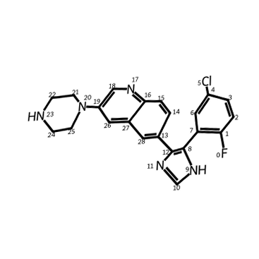 Fc1ccc(Cl)cc1-c1[nH]cnc1-c1ccc2ncc(N3CCNCC3)cc2c1